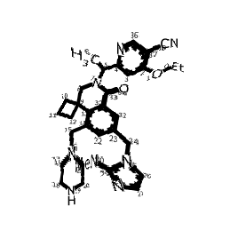 CCOc1cc(C(C)N2CC3(CCC3)c3c(CN4CCNCC4)cc(Cn4ccnc4NC)cc3C2=O)ncc1C#N